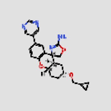 NC1=N[C@@]2(CO1)c1cc(-c3cncnc3)ccc1O[C@H]1CC[C@@H](OCC3CC3)C[C@@H]12